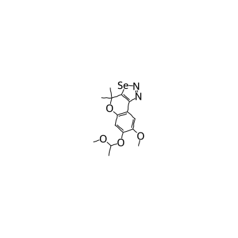 COc1cc2c(cc1OC(C)OC)OC(C)(C)c1[se]nnc1-2